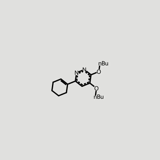 CCCCOc1cc(C2=CCCCC2)nnc1OCCCC